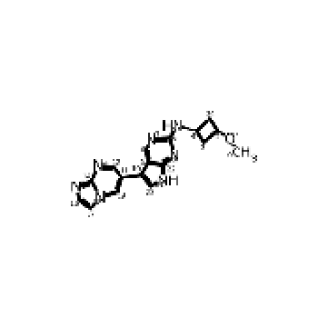 CO[C@H]1C[C@@H](Nc2ncc3c(-c4cnc5nccn5c4)c[nH]c3n2)C1